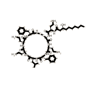 CCCCCCC[C@@H](O)CC(=O)N[C@H](CCN)C(=O)N[C@H]1CCNC(=O)[C@H](Cc2ccccc2)NC(=O)[C@H](CCN)NC(=O)[C@H](CCN)NC(=O)[C@H](CC(C)C)NC(=O)[C@@H](Cc2ccccc2)NC(=O)[C@H](CCN)NC1=O